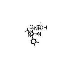 Cc1ccc(-c2nn(C(C)C)c(C(=O)NC[C@H](C)O)c2C#N)cc1C